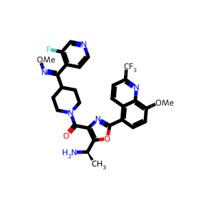 CO/N=C(\c1ccncc1F)C1CCN(C(=O)c2nc(-c3ccc(OC)c4nc(C(F)(F)F)ccc34)oc2[C@@H](C)N)CC1